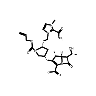 C=CCOC(=O)N1C[C@@H](SC2=C(C(=O)[O-])N3C(=O)[C@H]([C@@H](C)O)[C@H]3[C@H]2C)C[C@H]1CC[n+]1ccn(C)c1C(N)=O